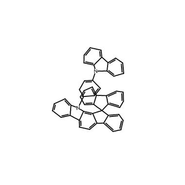 C1=CC(n2c3ccccc3c3ccc4c(c32)C2(c3ccccc3-c3ccccc32)c2ccccc2-4)CC=C1n1c2ccccc2c2ccccc21